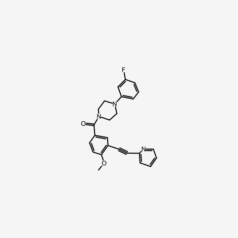 COc1ccc(C(=O)N2CCN(c3cccc(F)c3)CC2)cc1C#Cc1ccccn1